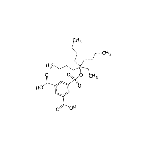 CCCCP(CC)(CCCC)(CCCC)OS(=O)(=O)c1cc(C(=O)O)cc(C(=O)O)c1